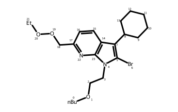 CCCCOCCn1c(Br)c(C2CCCCC2)c2ccc(COOCC)nc21